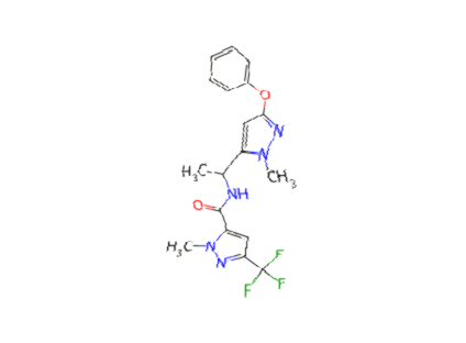 CC(NC(=O)c1cc(C(F)(F)F)nn1C)c1cc(Oc2ccccc2)nn1C